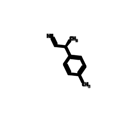 Cc1ccc([C@H](C)C=N)cc1